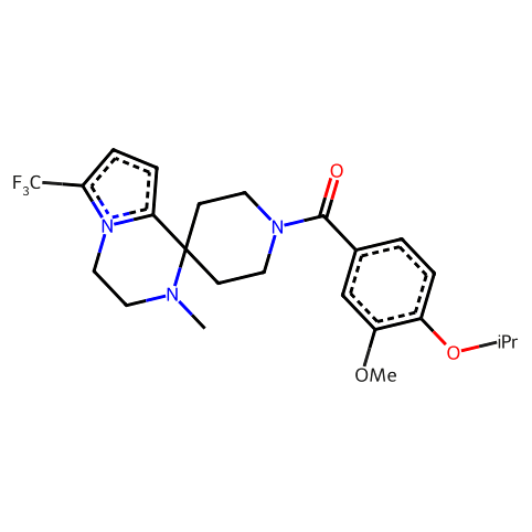 COc1cc(C(=O)N2CCC3(CC2)c2ccc(C(F)(F)F)n2CCN3C)ccc1OC(C)C